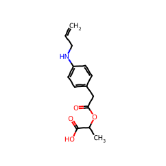 C=CCNc1ccc(CC(=O)OC(C)C(=O)O)cc1